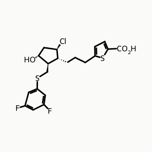 O=C(O)c1ccc(CCC[C@@H]2[C@@H](CSc3cc(F)cc(F)c3)[C@H](O)C[C@H]2Cl)s1